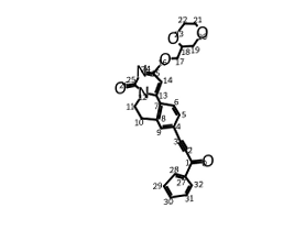 O=C(C#Cc1ccc2c(c1)CCn1c-2cc(OCC2COCCO2)nc1=O)c1ccccc1